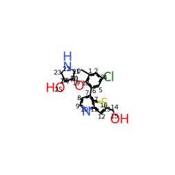 Cc1cc(Cl)cc(-c2ccnc3cc(CO)sc23)c1O[C@@H]1CNC[C@H]1O